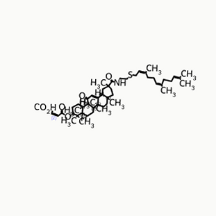 CC(C)=CCCC(C)=CCCC(C)=CCSCCNC(=O)C1(C)CC[C@]2(C)CC[C@]3(C)C(=CC(=O)[C@@H]4[C@@]5(C)CC[C@H](OC(=O)/C=C\C(=O)O)C(C)(C)[C@H]5CC[C@]43C)[C@@H]2C1